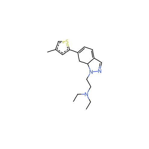 CCN(CC)CCN1N=CC2=CC=C(c3cc(C)cs3)CC21